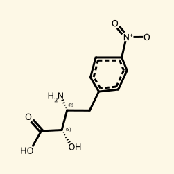 N[C@H](Cc1ccc([N+](=O)[O-])cc1)[C@H](O)C(=O)O